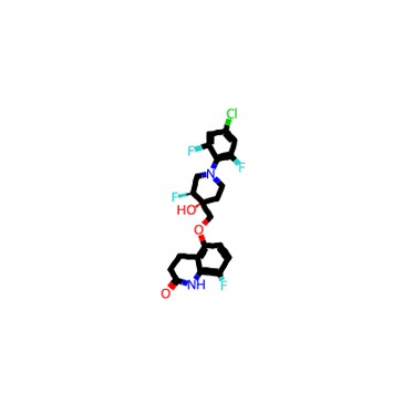 O=C1CCc2c(OC[C@]3(O)CCN(c4c(F)cc(Cl)cc4F)C[C@@H]3F)ccc(F)c2N1